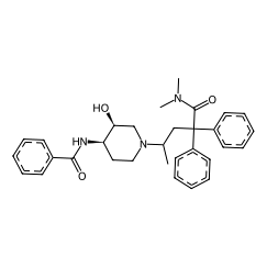 CC(CC(C(=O)N(C)C)(c1ccccc1)c1ccccc1)N1CC[C@@H](NC(=O)c2ccccc2)[C@@H](O)C1